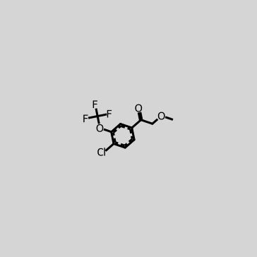 COCC(=O)c1ccc(Cl)c(OC(F)(F)F)c1